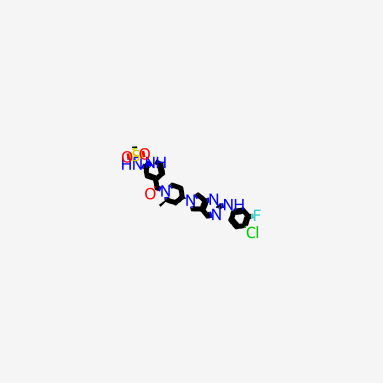 C/C=C\C(=C/C(=N)NS(C)(=O)=O)C(=O)N1CC[C@H](N2Cc3cnc(Nc4ccc(Cl)c(F)c4)nc3C2)C[C@H]1C